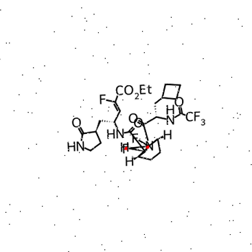 CCOC(=O)/C(F)=C/[C@@H](C[C@H]1CCNC1=O)NC(=O)[C@H]1[C@H]2CC[C@H](CC2(F)F)N1C(=O)[C@H](CC1CCC1)NC(=O)C(F)(F)F